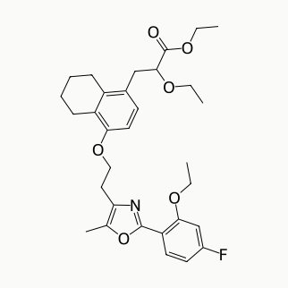 CCOC(=O)C(Cc1ccc(OCCc2nc(-c3ccc(F)cc3OCC)oc2C)c2c1CCCC2)OCC